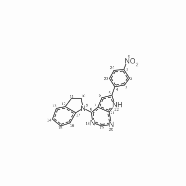 O=[N+]([O-])c1ccc(-c2cc3c(N4CCc5ccccc54)ncnc3[nH]2)cc1